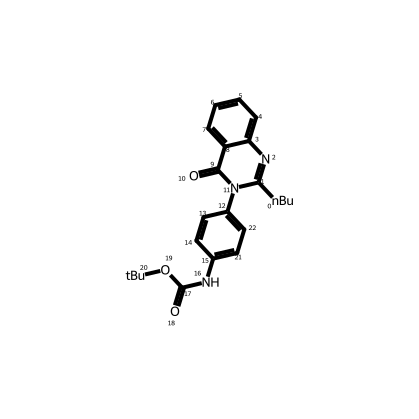 CCCCc1nc2ccccc2c(=O)n1-c1ccc(NC(=O)OC(C)(C)C)cc1